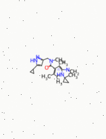 C=N/C(NC1(C)CC1)=C(\C)C(C(=O)N(C)Cc1cc(C2CC2)[nH]n1)=C(C)C